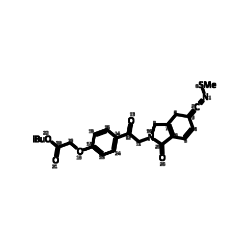 CSN=C=C1C=CC2=C(C1)CN(CC(=O)c1ccc(OCC(=O)OCC(C)C)cc1)C2=O